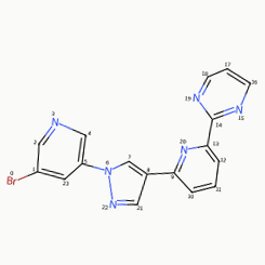 Brc1cncc(-n2cc(-c3cccc(-c4ncccn4)n3)cn2)c1